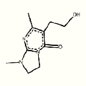 Cc1nc2n(c(=O)c1CCO)CCN2C